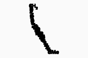 C=CCOCCCCCCCCCOCC#Cc1ccc(C(=O)Oc2ccc(OC(=O)C34CCC(OCCCCCCCCCCCOC)(CC3)C4)cc2)cc1